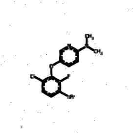 CCCc1ccc(Cl)c(Oc2ccc(N(C)C)nc2)c1F